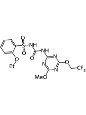 CCOc1ccccc1S(=O)(=O)NC(=O)Nc1nc(OC)nc(OCC(F)(F)F)n1